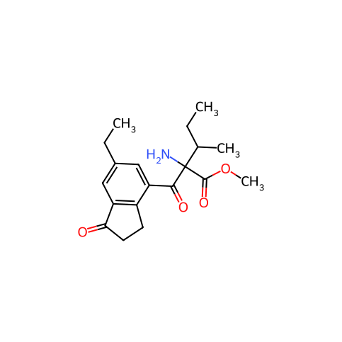 CCc1cc2c(c(C(=O)C(N)(C(=O)OC)C(C)CC)c1)CCC2=O